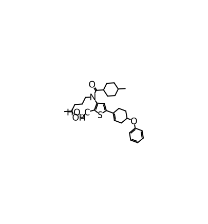 CC(O)CCCN(C(=O)C1CCC(C)CC1)c1cc(C2=CCC(Oc3ccccc3)CC2)sc1C(=O)O